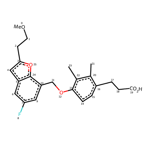 COCCc1cc2cc(F)cc(COc3ccc(CCC(=O)O)c(C)c3C)c2o1